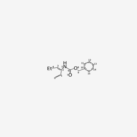 C=C/C(=C\CC)NC(=O)OCc1ccccc1